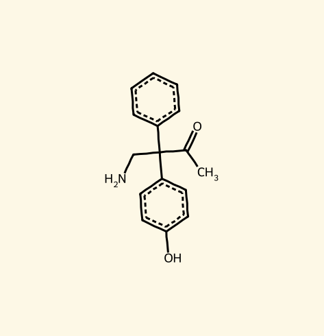 CC(=O)C(CN)(c1ccccc1)c1ccc(O)cc1